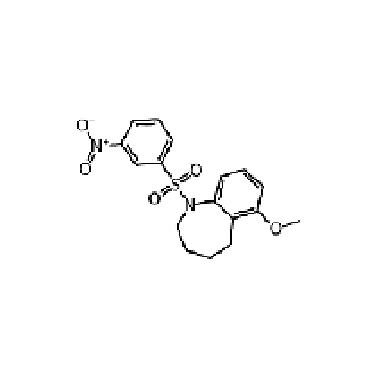 COc1cccc2c1CCCCN2S(=O)(=O)c1cccc([N+](=O)[O-])c1